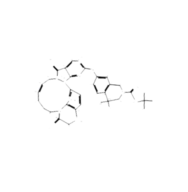 CC(C)(C)OC(=O)N1Cc2cc(Nc3ncc4c(=O)n5n(c4n3)-c3ccc4c(n3)N(CCC/C=C\C5)C(=O)CO4)ccc2C(C)(C)C1